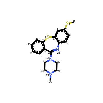 CSc1ccc2c(c1)Sc1ccccc1C(N1CCN(C)CC1)=N2